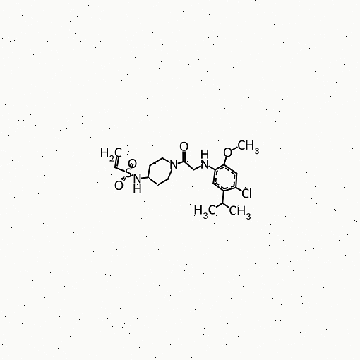 C=CS(=O)(=O)NC1CCN(C(=O)CNc2cc(C(C)C)c(Cl)cc2OC)CC1